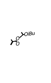 C=C(C)C(=O)OCC(C)OCC(C)C